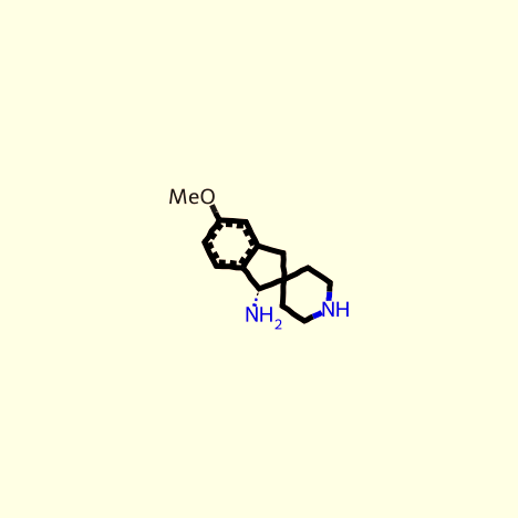 COc1ccc2c(c1)CC1(CCNCC1)[C@@H]2N